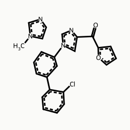 Cn1ccnc1.O=C(c1cn(-c2cccc(-c3ccccc3Cl)c2)cn1)c1ccco1